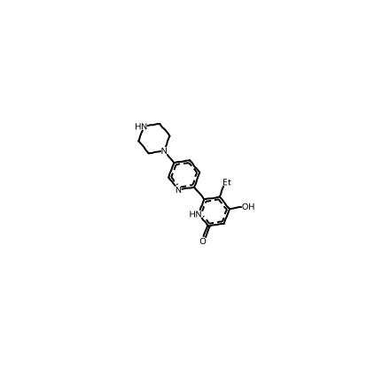 CCc1c(O)cc(=O)[nH]c1-c1ccc(N2CCNCC2)cn1